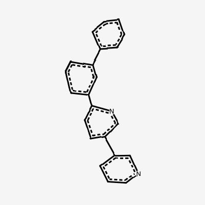 c1ccc(-c2cccc(-c3ccc(-c4cccnc4)cn3)c2)cc1